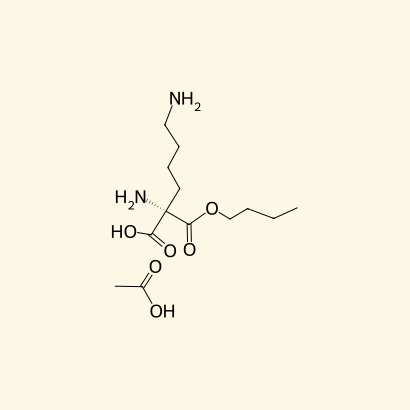 CC(=O)O.CCCCOC(=O)[C@](N)(CCCCN)C(=O)O